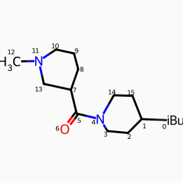 CCC(C)C1CCN(C(=O)C2CCCN(C)C2)CC1